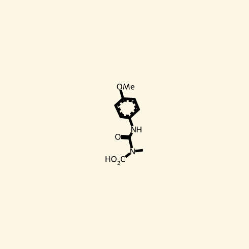 COc1ccc(NC(=O)N(C)C(=O)O)cc1